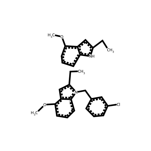 CCc1cc2c(OC)cccc2[nH]1.CCc1cc2c(OC)cccc2n1Cc1cccc(Cl)c1